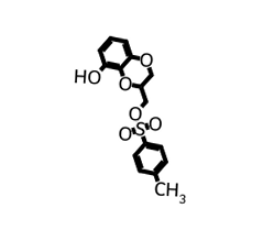 Cc1ccc(S(=O)(=O)OCC2COc3cccc(O)c3O2)cc1